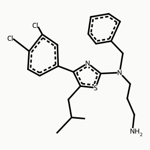 CC(C)Cc1sc(N(CCCN)Cc2ccccc2)nc1-c1ccc(Cl)c(Cl)c1